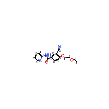 CCOCCOc1ccc(C(=O)Nc2ccccn2)cc1C#N